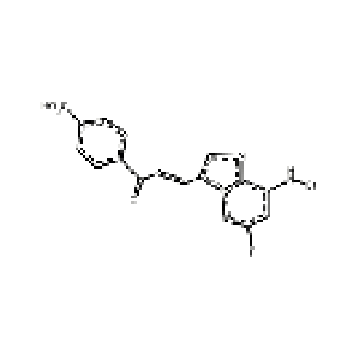 CCNc1cc(F)cc2c(/C=C/C(=O)c3ccc(C(=O)O)cc3)c[nH]c12